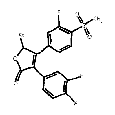 CCC1OC(=O)C(c2ccc(F)c(F)c2)=C1c1ccc(S(C)(=O)=O)c(F)c1